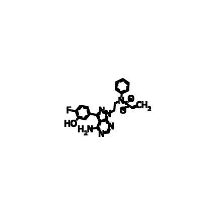 C=CS(=O)(=O)N(CCn1nc(-c2ccc(F)c(O)c2)c2c(N)ncnc21)c1ccccc1